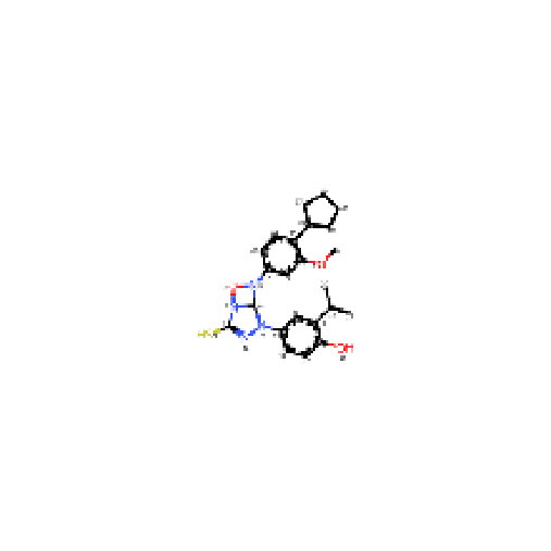 COc1cc(N2ON3C(S)=NN(c4ccc(O)c(C(C)C)c4)C32)ccc1C1CCCC1